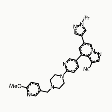 COc1ccc(CN2CCN(c3ccc(-c4cc(-c5cnn(C(C)C)c5)cn5ncc(C#N)c45)cn3)CC2)cn1